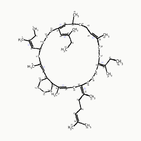 CC/C(C)=C\C1C/C(C)=C\C2SSSSC2/C(C)=C\C/C(=C(/C)CCC=C(C)C)SSC/C(=C(\C)CC)CC/C(C)=C/CCC(C)/C=C(\C=C(/C)CC)SSS1